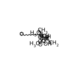 C=CCN1CC[C@]23c4c5c(O)cc(OC(C)=O)c4O[C@H]2[C@@H](N(CC(C)C)C(=O)CCCCCCCCCCc2ccccc2)CC[C@H]3[C@H]1C5